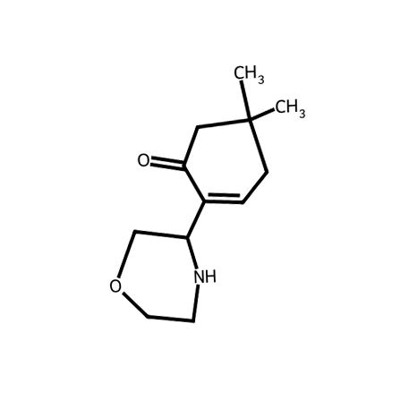 CC1(C)CC=C(C2COCCN2)C(=O)C1